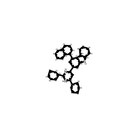 c1ccc(-c2cc(-c3cc(-c4cccc5ccccc45)c4c(c3)sc3ccccc34)nc(-c3ccccc3)n2)cc1